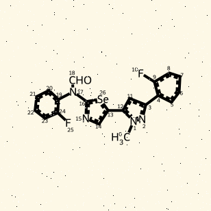 Cn1nc(-c2ccccc2F)cc1-c1cnc(N(C=O)c2ccccc2F)[se]1